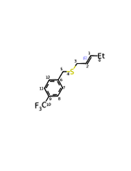 CC/C=C/CSCc1ccc(C(F)(F)F)cc1